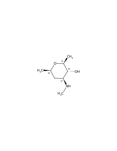 CN[C@H]1C[C@@H](C)O[C@@H](C)[C@@H]1O